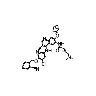 CN(C)C/C=C/C(=O)Nc1cc2c(Nc3ccc(OCc4ccccc4C#N)c(Cl)c3)c(C#N)cnc2cc1O[C@H]1CCOC1